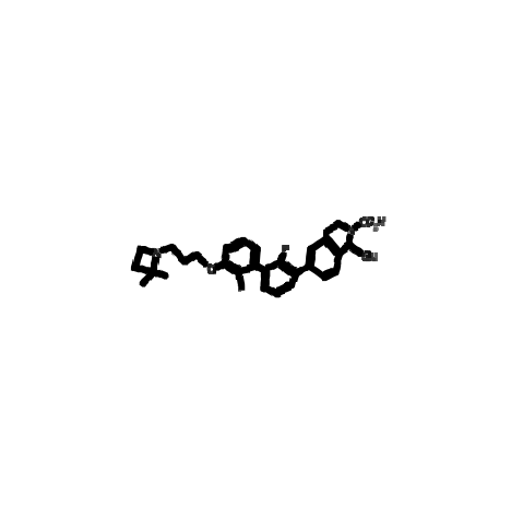 Cc1c(OCCCN2CCC2(C)C)cccc1-c1cccc(-c2ccc3c(c2)CCN(C(=O)O)C3C(C)(C)C)c1F